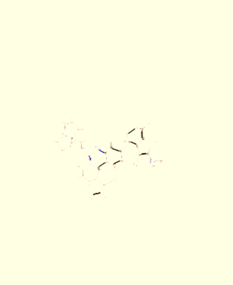 C=C(F)C1COc2c(Cl)c(-c3ccc(F)c4sc(NC(=O)O)c(C#N)c34)c(F)c3nc(OC[C@@]45CCCN4C[C@H](F)C5)nc(c23)N1CC(F)F